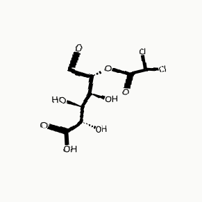 O=C[C@H](OC(=O)C(Cl)Cl)[C@@H](O)[C@H](O)[C@H](O)C(=O)O